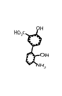 Nc1cccc(-c2ccc(O)c(C(=O)O)c2)c1O